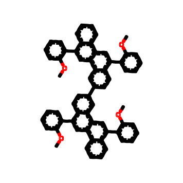 COc1ccccc1-c1cc2c3cc(-c4ccc5c(-c6ccccc6OC)cc6c7ccccc7c(-c7ccccc7OC)cc6c5c4)ccc3c(-c3ccccc3OC)cc2c2ccccc12